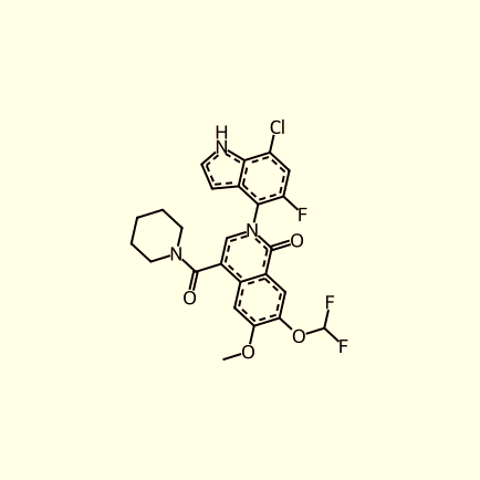 COc1cc2c(C(=O)N3CCCCC3)cn(-c3c(F)cc(Cl)c4[nH]ccc34)c(=O)c2cc1OC(F)F